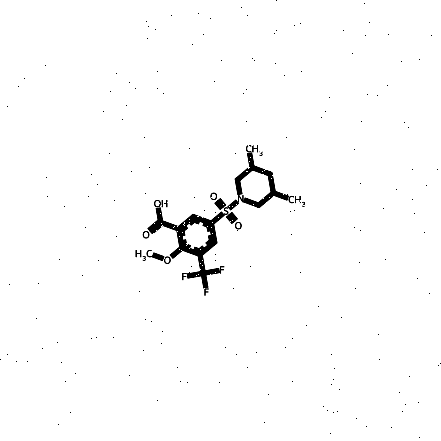 COc1c(C(=O)O)cc(S(=O)(=O)N2CC(C)CC(C)C2)cc1C(F)(F)F